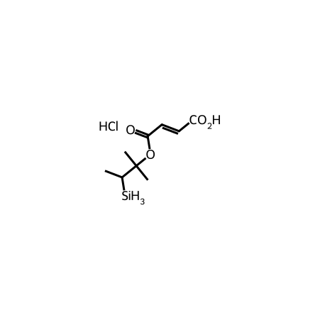 CC([SiH3])C(C)(C)OC(=O)C=CC(=O)O.Cl